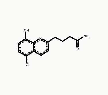 NC(=O)CCCc1ccc2c(Cl)ccc(O)c2n1